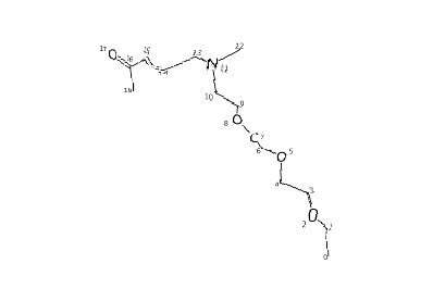 CCOCCOCCOCCN(C)C/C=C/C(=O)I